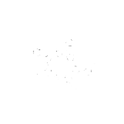 Cc1cc(C)cc(-c2cc(-c3cc(C)cc(C(F)(F)F)c3)cc(-c3ccc4c(c3)c3cc(-c5cc(-c6cc(C)cc(C(F)(F)F)c6)cc(-c6cc(C(F)(F)F)cc(C(F)(F)F)c6)c5)ccc3n4-c3ccccc3)c2)c1